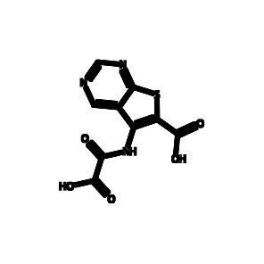 O=C(O)C(=O)Nc1c(C(=O)O)sc2ncncc12